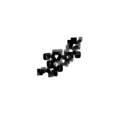 Cc1cc(C(=O)N2CC(CCOc3ccc(C#N)cn3)C(c3ccc(Cl)c(Cl)c3)C2)cnn1